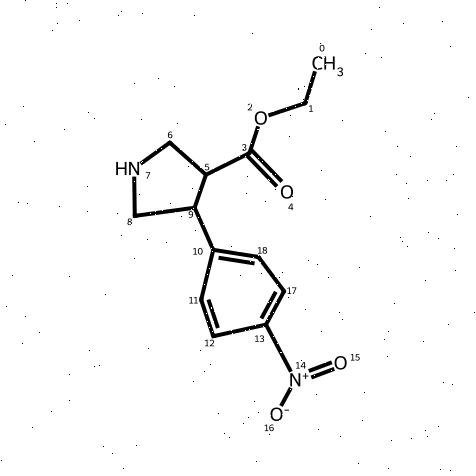 CCOC(=O)C1CNCC1c1ccc([N+](=O)[O-])cc1